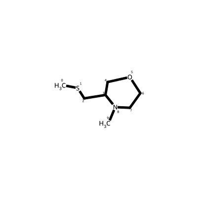 CSCC1COCCN1C